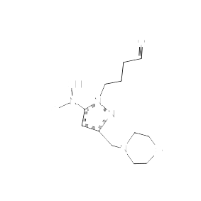 CN(C)c1cc(CN2CCOCC2)nn1CCCC=O